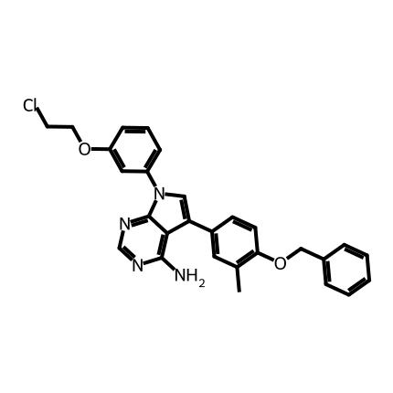 Cc1cc(-c2cn(-c3cccc(OCCCl)c3)c3ncnc(N)c23)ccc1OCc1ccccc1